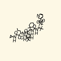 CCCC(NC(=O)[C@@H]1[C@@H]2[C@H](CN1C(=O)[C@@H](NC(=O)N[C@H](CN(C)S(=O)(=O)c1cccnc1)C(C)(C)C)C1(C)CCCCC1)C2(C)C)C(=O)C(=O)NC1CC1